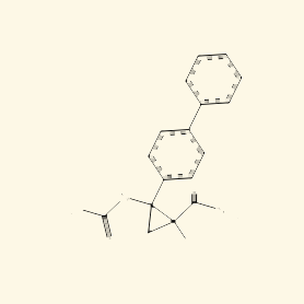 CCC1(C(N)=O)CC1(NC(=O)C(F)(F)F)c1ccc(-c2ccccc2)cc1